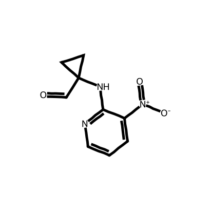 O=CC1(Nc2ncccc2[N+](=O)[O-])CC1